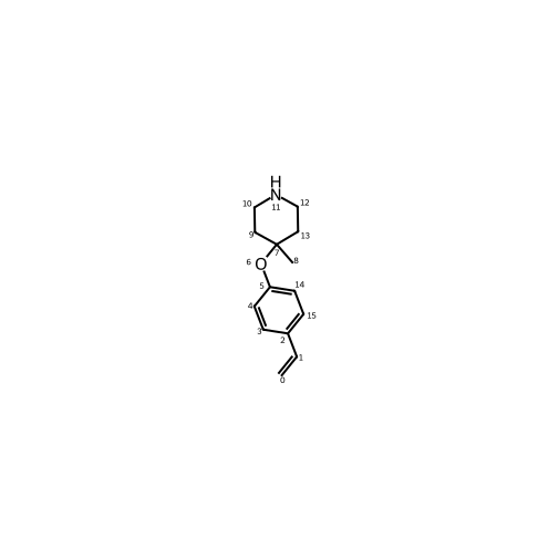 C=Cc1ccc(OC2(C)CCNCC2)cc1